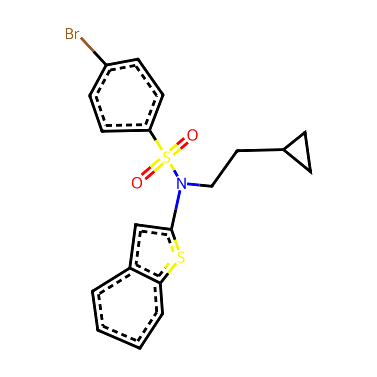 O=S(=O)(c1ccc(Br)cc1)N(CCC1CC1)c1cc2ccccc2s1